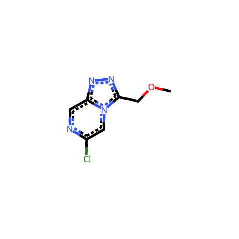 COCc1nnc2cnc(Cl)cn12